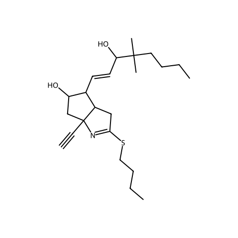 C#CC12CC(O)C(C=CC(O)C(C)(C)CCCC)C1CC(SCCCC)=N2